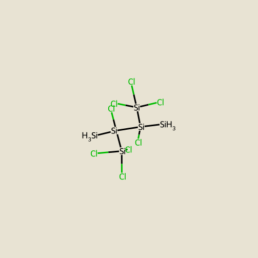 [SiH3][Si](Cl)([Si](Cl)(Cl)Cl)[Si]([SiH3])(Cl)[Si](Cl)(Cl)Cl